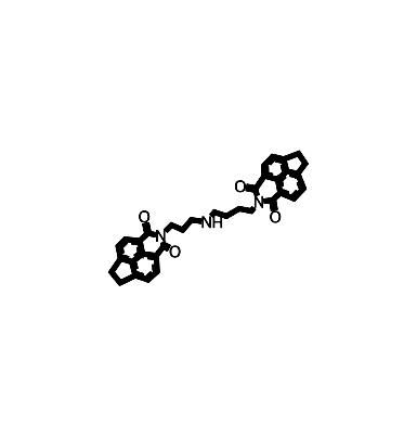 O=C1c2ccc3c4c(ccc(c24)C(=O)N1CCCCNCCCN1C(=O)c2ccc4c5c(ccc(c25)C1=O)CC4)CC3